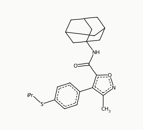 Cc1noc(C(=O)NC23CC4CC(CC(C4)C2)C3)c1-c1ccc(SC(C)C)cc1